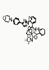 NC(=O)C1(C(Cc2ccccc2)NC(=O)c2cccnc2-n2ccc(-c3ccc(N4CCOCC4)cc3)n2)OCCO1